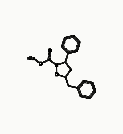 CCCCOC(=O)N1OC(Cc2ccccc2)CC1c1ccccc1